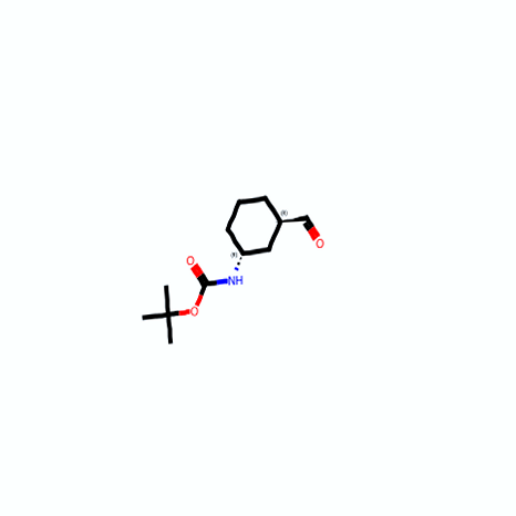 CC(C)(C)OC(=O)N[C@@H]1CCC[C@@H](C=O)C1